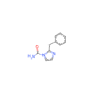 NC(=O)n1ccnc1[CH]c1ccccc1